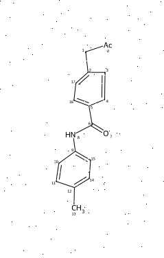 CC(=O)Cc1ccc(C(=O)Nc2ccc(C)cc2)cc1